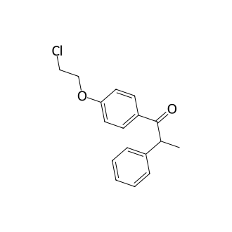 CC(C(=O)c1ccc(OCCCl)cc1)c1ccccc1